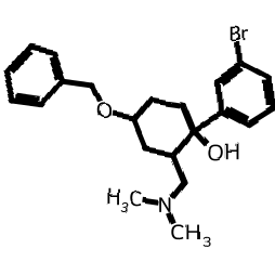 CN(C)CC1CC(OCc2ccccc2)CCC1(O)c1cccc(Br)c1